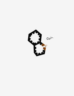 [Cu+2].c1ccc2[s+]cccc2c1